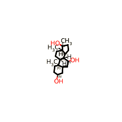 C[C@]12CC[C@H](O)CC1=C[C@H](O)[C@@H]1[C@@H]2CC[C@@]2(C)[C@H]1CC[C@]2(C)O